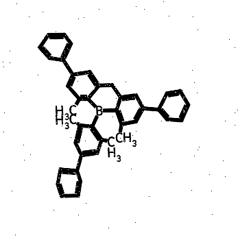 Cc1cc(-c2ccccc2)cc(C)c1B1c2c(C)cc(-c3ccccc3)cc2Cc2cc(-c3ccccc3)cc(C)c21